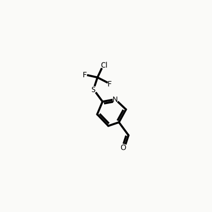 O=Cc1ccc(SC(F)(F)Cl)nc1